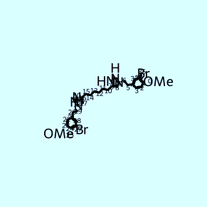 COc1ccc(CCN2C=C(CCCCCCc3cn(CCc4ccc(OC)c(Br)c4)nn3)NN2)cc1Br